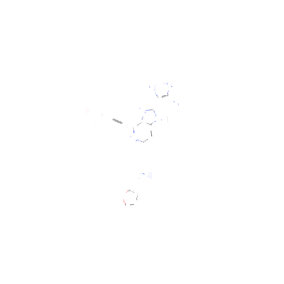 CCn1c(-c2nonc2N)nc2c(C#CC(C)(C)O)nc(OC[C@@H](N)Cc3ccco3)cc21